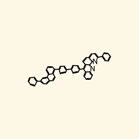 c1ccc(-c2ccc3ccc4c(-c5ccc(-c6ccc(-c7c8ccccc8nc8c7ccc7ccc(-c9ccccc9)nc78)cc6)cc5)cccc4c3c2)cc1